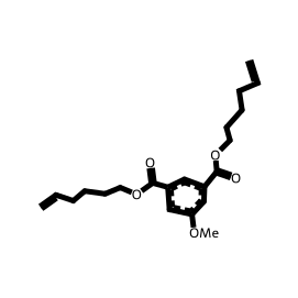 C=CCCCCOC(=O)c1cc(OC)cc(C(=O)OCCCCC=C)c1